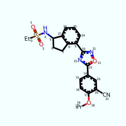 CCS(=O)(=O)NC1CCc2c(-c3noc(-c4ccc(OC(C)C)c(C#N)c4)n3)cccc21